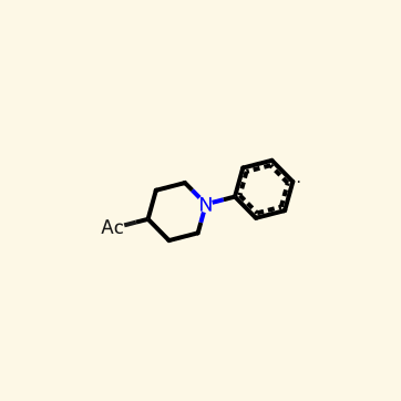 CC(=O)C1CCN(c2cc[c]cc2)CC1